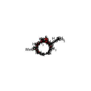 COc1ccc(C[C@@H]2NC(=O)[C@H]([C@@H](C)O)NC(=O)C3CCC(=O)NCc4cccc(c4)C[C@H](NC(=O)[C@@H](CNC(=O)CCOCCOCC[N+](C)(C)C)NC(=O)[C@H](C)NC(=O)CCC(=O)NCc4ccc(cc4)CCNC(=O)[C@]4(C)CCCN4C2=O)C(=O)N[C@@H](Cc2c[nH]c4ccc(F)cc24)C(=O)N3C)cc1